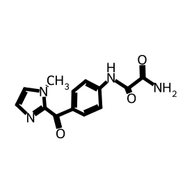 Cn1ccnc1C(=O)c1ccc(NC(=O)C(N)=O)cc1